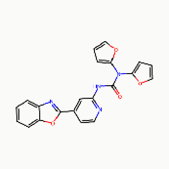 O=C(Nc1cc(-c2nc3ccccc3o2)ccn1)N(c1ccco1)c1ccco1